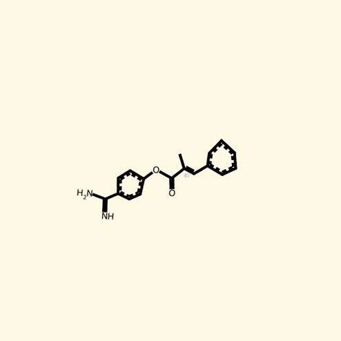 C/C(=C\c1ccccc1)C(=O)Oc1ccc(C(=N)N)cc1